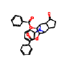 O=C(OC1C(OC(=O)c2ccccc2)C2C3C(=O)CCC3C1N2c1ccccc1)c1ccccc1